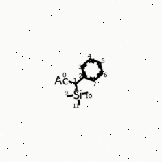 CC(=O)C(c1c[c]ccc1)[Si](C)(C)C